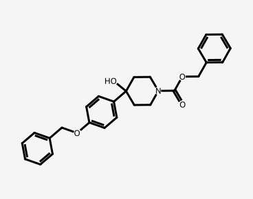 O=C(OCc1ccccc1)N1CCC(O)(c2ccc(OCc3ccccc3)cc2)CC1